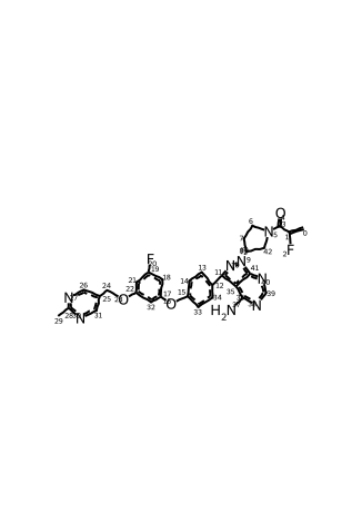 C=C(F)C(=O)N1CC[C@@H](n2nc(-c3ccc(Oc4cc(F)cc(OCc5cnc(C)nc5)c4)cc3)c3c(N)ncnc32)C1